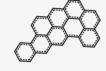 c1ccc2c(c1)cc1cc3c4cccc5ccc6ccc7cc8ccc2c1c8c3c7c6c54